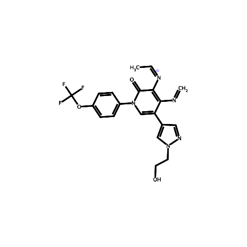 C=Nc1c(-c2cnn(CCO)c2)cn(-c2ccc(OC(F)(F)F)cc2)c(=O)c1/N=C\C